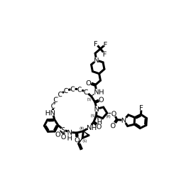 C=C[C@@H]1C[C@@]12NC(=O)[C@@H]1C[C@@H](OC(=O)N3Cc4cccc(F)c4C3)CN1C(=O)[C@@H](NC(=O)CC1CCN(CC(F)(F)F)CC1)CCCCCCCNc1ccccc1S(=O)(=O)NC2=O